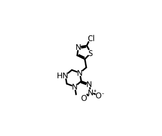 CN1CNCN(Cc2cnc(Cl)s2)C1=N[N+](=O)[O-]